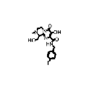 CN1CCn2c(nc(C(=O)NCc3ccc(F)cc3)c(O)c2=O)C1CO